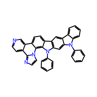 c1ccc(-n2c3ccccc3c3cc4c5ccc6c7cnccc7c7nccn7c6c5n(-c5ccccc5)c4cc32)cc1